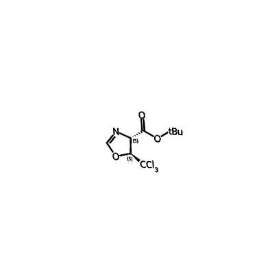 CC(C)(C)OC(=O)[C@H]1N=CO[C@@H]1C(Cl)(Cl)Cl